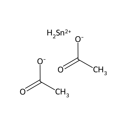 CC(=O)[O-].CC(=O)[O-].[SnH2+2]